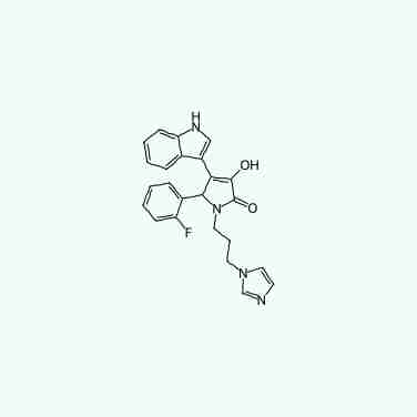 O=C1C(O)=C(c2c[nH]c3ccccc23)C(c2ccccc2F)N1CCCn1ccnc1